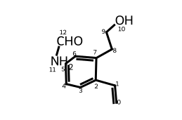 C=Cc1ccccc1CCO.NC=O